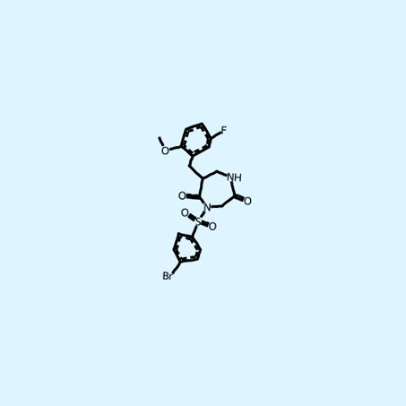 COc1ccc(F)cc1CC1CNC(=O)CN(S(=O)(=O)c2ccc(Br)cc2)C1=O